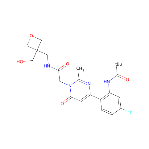 Cc1nc(-c2ccc(F)cc2NC(=O)C(C)(C)C)cc(=O)n1CC(=O)NCC1(CO)COC1